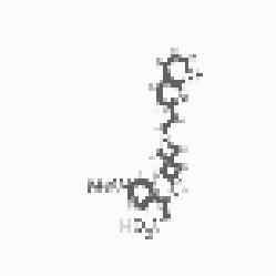 COc1ccc(C(CC(=O)O)NC2CC3(C2)CN(CCc2ccc4c(n2)NCCC4)C3)cn1